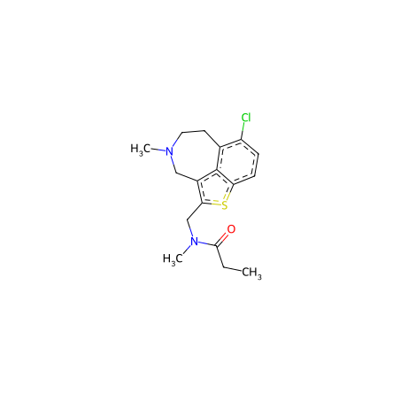 CCC(=O)N(C)Cc1sc2ccc(Cl)c3c2c1CN(C)CC3